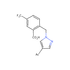 CC(=O)c1cnn(Cc2ccc(C(F)(F)F)cc2C(=O)O)c1